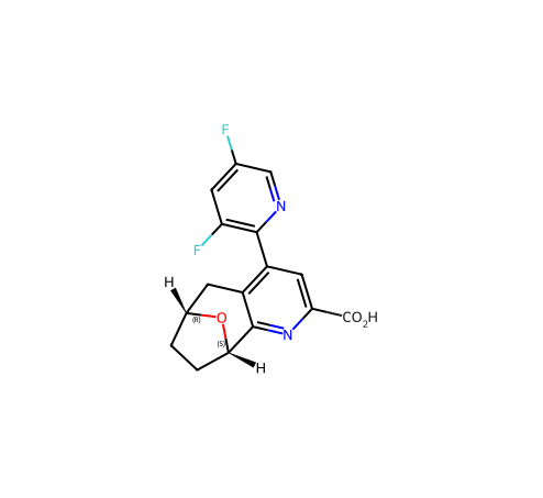 O=C(O)c1cc(-c2ncc(F)cc2F)c2c(n1)[C@@H]1CC[C@H](C2)O1